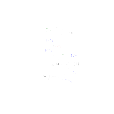 Cc1cn2ncnc(C(C)(C)C(N)F)c2c1-c1ccc(NC(=O)Nc2cc(C(F)(F)F)ccc2F)cc1